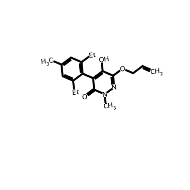 C=CCOc1nn(C)c(=O)c(-c2c(CC)cc(C)cc2CC)c1O